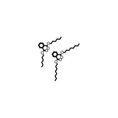 CCCCCCCCOC(=O)c1ccccc1C(=O)OCCCCCCCC.CCCCCCOC(=O)c1ccccc1C(=O)OCCCCCC